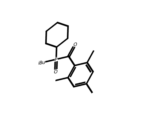 CCC(C)P(=O)(C(=O)c1c(C)cc(C)cc1C)C1CCCCC1